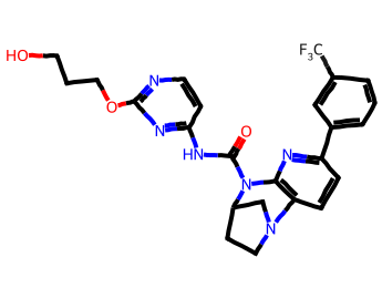 O=C(Nc1ccnc(OCCCO)n1)N1c2nc(-c3cccc(C(F)(F)F)c3)ccc2N2CCC1C2